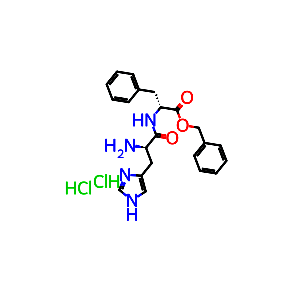 Cl.Cl.N[C@H](Cc1c[nH]cn1)C(=O)N[C@H](Cc1ccccc1)C(=O)OCc1ccccc1